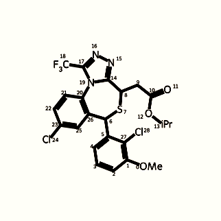 COc1cccc(C2SC(CC(=O)OC(C)C)c3nnc(C(F)(F)F)n3-c3ccc(Cl)cc32)c1Cl